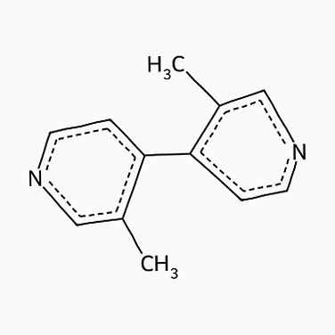 Cc1cnccc1-c1ccncc1C